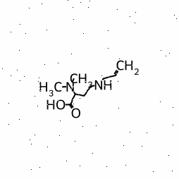 C=CCNCCC(C(=O)O)N(C)C